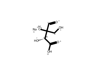 CC(C=O)(CO)[C@@H](O)C(=O)O.[Na]